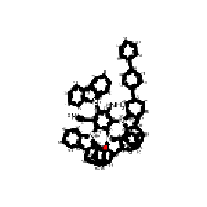 N#Cc1c(-n2c3ccccc3c3ccccc32)c(N)c(-n2c3ccccc3c3ccc(-c4ccc(-c5ccccc5)cc4)cc32)c(-n2c3ccccc3c3ccccc32)c1-n1c2ccccc2c2ccccc21